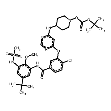 COc1c(NC(=O)c2ccc(Cl)c(Oc3cc(NC4CCN(OC(=O)OC(C)(C)C)CC4)ncn3)c2)cc(C(C)(C)C)cc1NS(C)(=O)=O